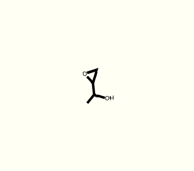 CC(O)C1CO1